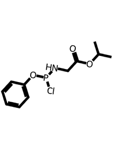 CC(C)OC(=O)CNP(Cl)Oc1ccccc1